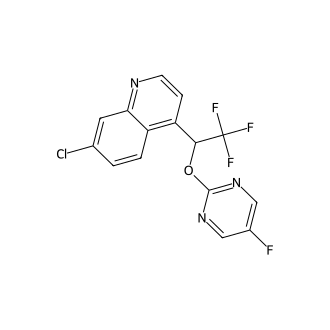 Fc1cnc(OC(c2ccnc3cc(Cl)ccc23)C(F)(F)F)nc1